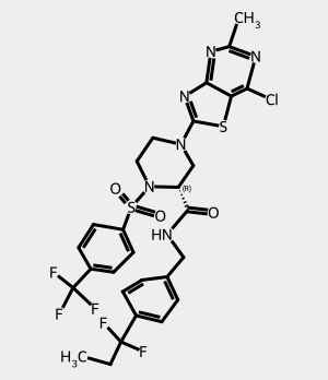 CCC(F)(F)c1ccc(CNC(=O)[C@H]2CN(c3nc4nc(C)nc(Cl)c4s3)CCN2S(=O)(=O)c2ccc(C(F)(F)F)cc2)cc1